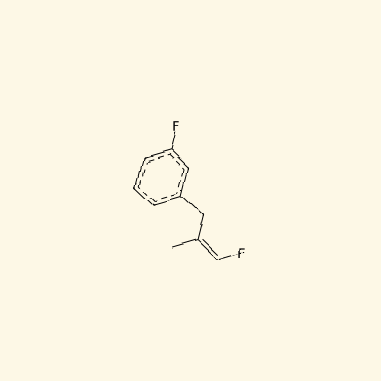 C/C(=C/F)Cc1cccc(F)c1